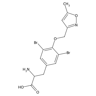 Cc1cc(COc2c(Br)cc(CC(N)C(=O)O)cc2Br)no1